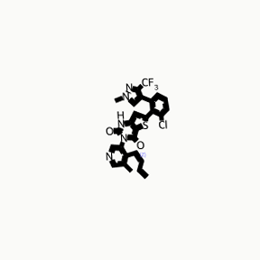 C=C/C=C\c1c(C)cncc1-n1c(=O)[nH]c2cc(-c3c(Cl)cccc3-c3cn(C)nc3C(F)(F)F)sc2c1=O